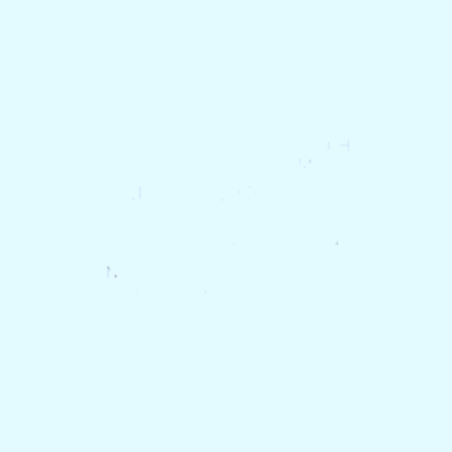 COc1ccccc1Oc1cc(Cl)cc(/C=C\C#N)c1